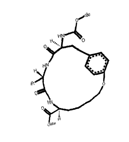 COC(=O)[C@@H]1CCCCOc2ccc(cc2)C[C@H](NC(=O)OC(C)(C)C)C(=O)N[C@@H](C(C)C)C(=O)N1